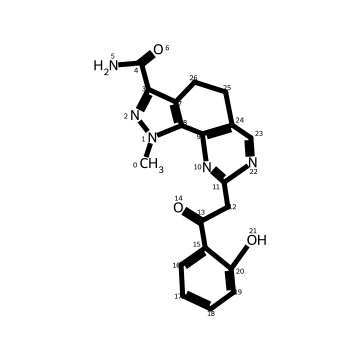 Cn1nc(C(N)=O)c2c1-c1nc(CC(=O)c3ccccc3O)ncc1CC2